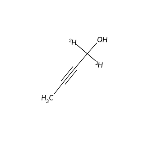 [2H]C([2H])(O)C#CC